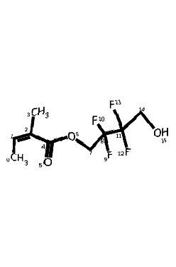 CC=C(C)C(=O)OCC(F)(F)C(F)(F)CO